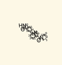 C[C@@H]1CCCN(C(=O)c2cnn3c(-c4ccc5c(c4)C(=O)NC5)cccc23)C1